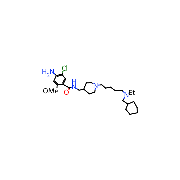 CCN(CCCCCN1CCC(CNC(=O)c2cc(Cl)c(N)cc2OC)CC1)CC1CCCCC1